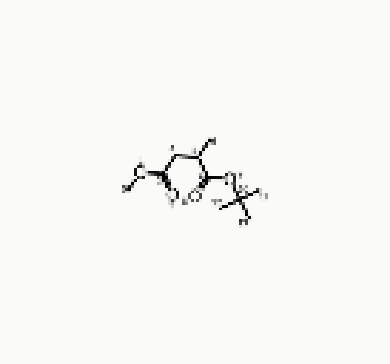 COC(=O)CC(C)C(=O)OC(C)(C)C